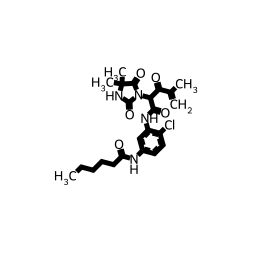 C=C(C)C(=O)C(C(=O)Nc1cc(NC(=O)CCCCC)ccc1Cl)N1C(=O)NC(C)(C)C1=O